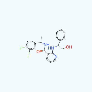 C[C@H](NC(=O)c1cccnc1N[C@@H](CO)c1ccccc1)c1ccc(F)c(F)c1